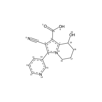 N#Cc1c(C(=O)O)c2n(c1-c1cccnc1)CCCC2O